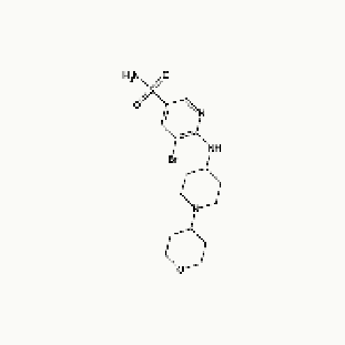 NS(=O)(=O)c1cnc(NC2CCN(C3CCOCC3)CC2)c(Br)c1